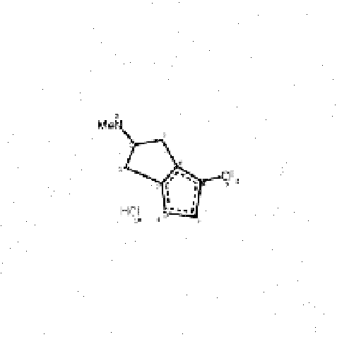 CNC1Cc2scc(C(F)(F)F)c2C1.Cl